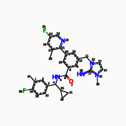 Cc1cc(C(NC(=O)c2cc(Cn3ccn(C)c3=N)cc(-c3ncc(F)cc3C)c2)C2CC2)ccc1F